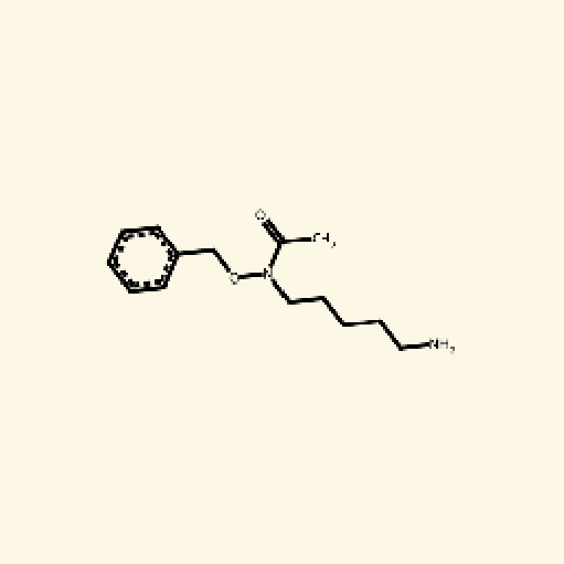 CC(=O)N(CCCCCN)OCc1ccccc1